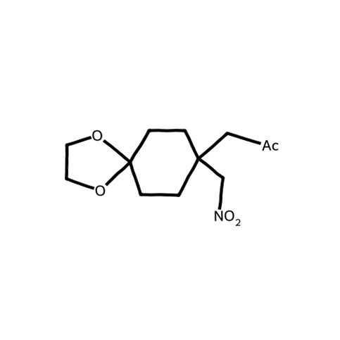 CC(=O)CC1(C[N+](=O)[O-])CCC2(CC1)OCCO2